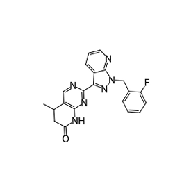 CC1CC(=O)Nc2nc(-c3nn(Cc4ccccc4F)c4ncccc34)ncc21